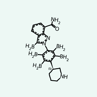 Bc1c(B)c(-n2nc3c(C(N)=O)cccc3c2B)c(B)c(B)c1[C@@H]1CCCNC1